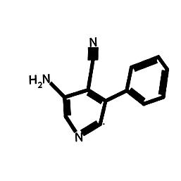 N#Cc1c(-c2ccccc2)[c]ncc1N